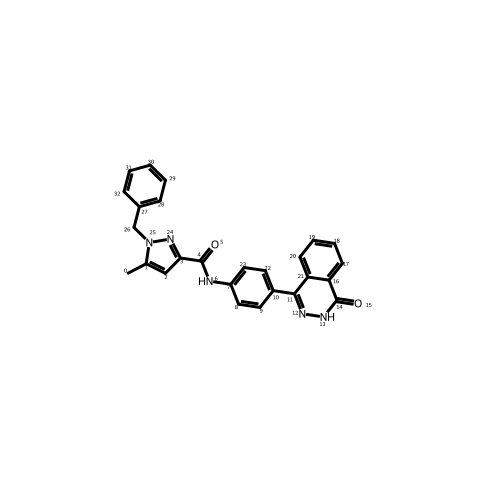 Cc1cc(C(=O)Nc2ccc(-c3n[nH]c(=O)c4ccccc34)cc2)nn1Cc1ccccc1